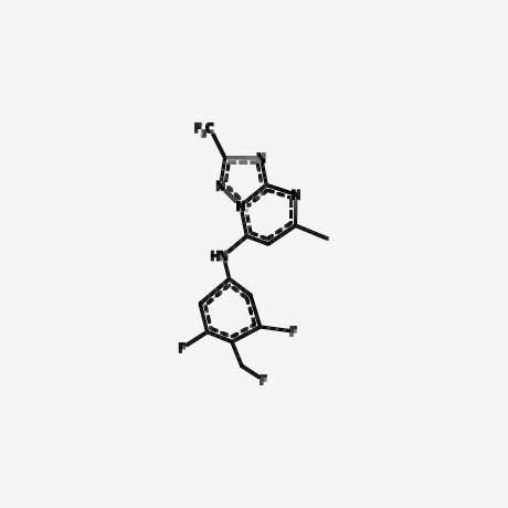 Cc1cc(Nc2cc(F)c(CF)c(F)c2)n2nc(C(F)(F)F)nc2n1